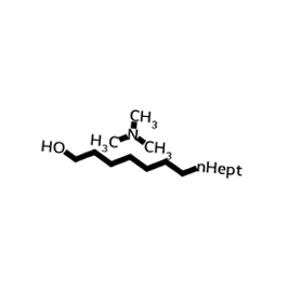 CCCCCCCCCCCCCCO.CN(C)C